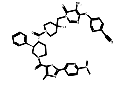 Cc1nc(-c2ccc(N(C)C)nc2)sc1C(=O)N1CC[C@@H](C(=O)N2CCC(O)(Cn3cnc(Oc4ccc(C#N)cc4)c(N)c3=O)CC2)[C@H](c2ccccc2)C1